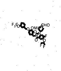 COc1cc(Cn2c(=O)c3cc(OC(CF)CF)c(F)cc3n(C3CCN(C=O)CC3)c2=O)ccc1OCc1cccc(OC(F)(F)F)c1